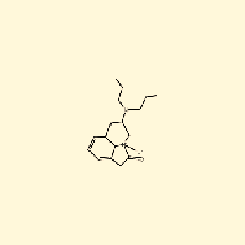 CCCN(CCC)C1CC2C=CC=C3CC(=O)[N+]([O-])(C1)C32